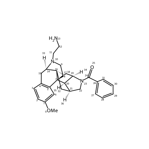 COc1ccc2c(c1)[C@]13CCN(CCN)[C@H](C2)[C@]12CC[C@@H]1[C@H]3[C@@H](CN1C(=O)c1ccccc1)C2